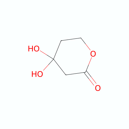 O=C1CC(O)(O)CCO1